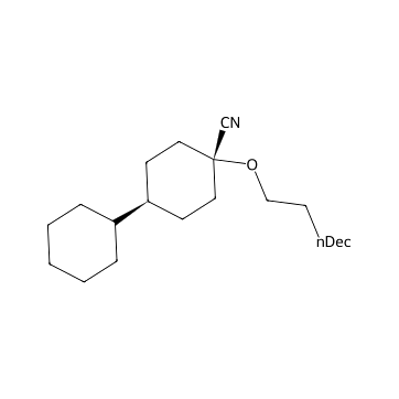 CCCCCCCCCCCCO[C@]1(C#N)CC[C@@H](C2CCCCC2)CC1